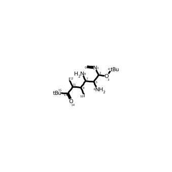 C=NC(OC(C)(C)C)C(N)C(N)C(I)C(I)C(=O)C(C)(C)C